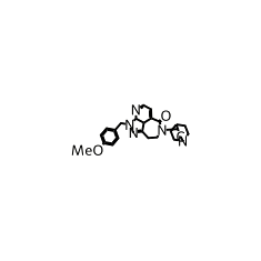 COc1ccc(CN2N=C3CCN(C4CN5CCC4CC5)C(=O)C4=CC=NC2C43)cc1